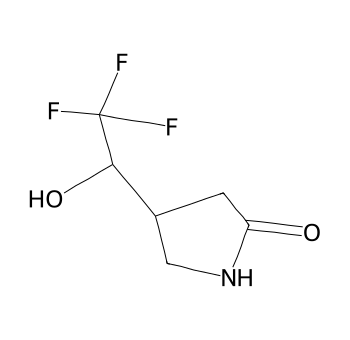 O=C1CC(C(O)C(F)(F)F)CN1